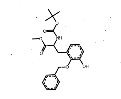 COC(=O)C(Cc1cccc(O)c1OCc1ccccc1)NC(=O)OC(C)(C)C